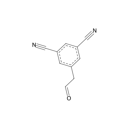 N#Cc1cc(C#N)cc(CC=O)c1